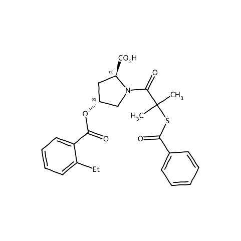 CCc1ccccc1C(=O)O[C@@H]1C[C@@H](C(=O)O)N(C(=O)C(C)(C)SC(=O)c2ccccc2)C1